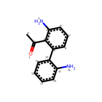 CC(=O)c1c(N)cccc1-c1ccccc1N